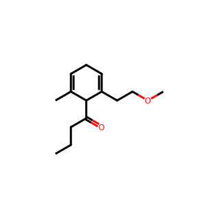 CCCC(=O)C1C(C)=CCC=C1CCOC